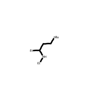 CCCCCCC(CC)NCC